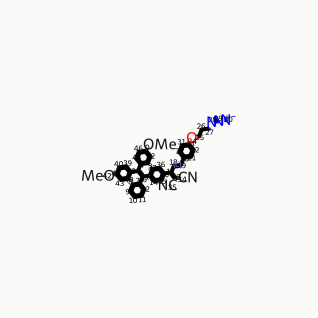 COc1ccc(C(=C(c2ccccc2)c2ccc(C(/C=C/c3ccc(OCCCN=[N+]=[N-])cc3)=C(C#N)C#N)cc2)c2ccc(OC)cc2)cc1